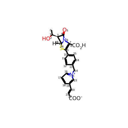 CC(O)[C@H]1C(=O)N2C(C(=O)O)=C(c3ccc(C[n+]4cccc(/C=C/C(=O)[O-])c4)cc3)S[C@H]12